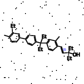 CCc1cc(-c2ccc(C(CC)(CC)c3ccc(/C=C/C(O)(CC)CC)c(C)c3)cc2)ccc1C